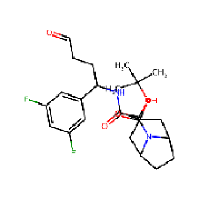 CC(C)(C)OC(=O)N1C2CCC1CC(O)(C(=O)NC(CCC=O)c1cc(F)cc(F)c1)C2